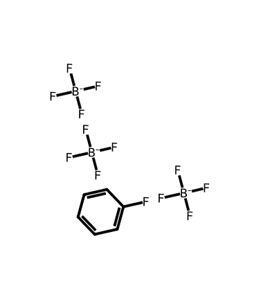 F[B-](F)(F)F.F[B-](F)(F)F.F[B-](F)(F)F.Fc1ccccc1